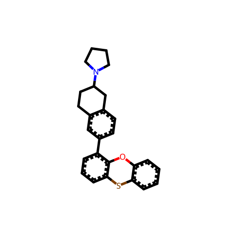 c1ccc2c(c1)Oc1c(cccc1-c1ccc3c(c1)CCC(N1CCCC1)C3)S2